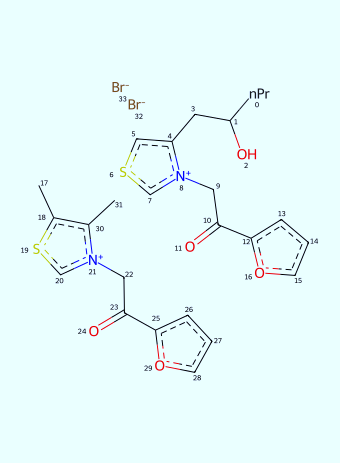 CCCC(O)Cc1csc[n+]1CC(=O)c1ccco1.Cc1sc[n+](CC(=O)c2ccco2)c1C.[Br-].[Br-]